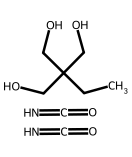 CCC(CO)(CO)CO.N=C=O.N=C=O